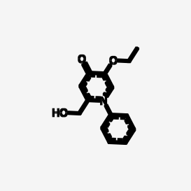 CCOc1cn(-c2ccccc2)c(CO)cc1=O